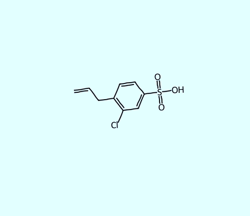 C=CCc1ccc(S(=O)(=O)O)cc1Cl